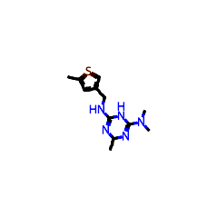 Cc1cc(CNC2=NC(C)N=C(N(C)C)N2)cs1